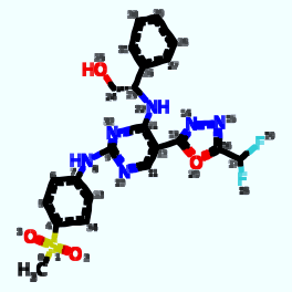 CS(=O)(=O)c1ccc(Nc2ncc(-c3nnc(C(F)F)o3)c(N[C@H](CO)c3ccccc3)n2)cc1